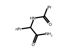 CCCC(NC(=O)C(C)C)C(N)=O